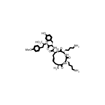 COc1ccc(C[C@H](NC(=O)[C@H](Cc2ccc(O)cc2)NC(=O)[C@@H]2C/C=C/C[C@H](N)C(=O)N[C@@H](CCCCN)C(=O)N[C@@H](CCCCN)C(=O)N2)C(=O)O)cc1